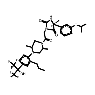 CCCc1cc(C(O)(C(F)(F)F)C(F)(F)F)ccc1N1CC(C)N(C(=O)CN2C(=O)N[C@](C)(c3cccc(OC(C)C)c3)C2=O)CC1C